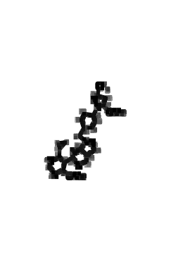 COc1ncnc(C2CC2)c1-c1ncc2cnn(Cc3ccc(-n4nc(C(F)(F)F)cc4OC)cc3)c2n1